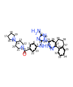 Nc1nc(Nc2ccc(C(=O)N3CCC(N4CCCC4)CC3)cc2)n(-c2cc3c(nn2)-c2ccccc2CCC3)n1